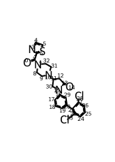 O=C(c1nccs1)N1CCN(C2CC(=O)N(c3cccc(-c4c(Cl)cccc4Cl)c3)C2)CC1